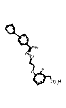 CCC/C(=N\OCCOc1cccc(CC(=O)O)c1F)c1ccc(-c2ccccc2)cc1